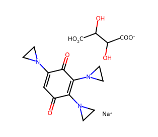 O=C([O-])C(O)C(O)C(=O)O.O=C1C=C(N2CC2)C(=O)C(N2CC2)=C1N1CC1.[Na+]